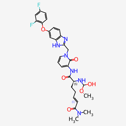 COC(O)N[C@@H](CC/C=C/C(=O)N(C)C)C(=O)Nc1cccn(Cc2nc3ccc(Oc4ccc(F)cc4F)cc3[nH]2)c1=O